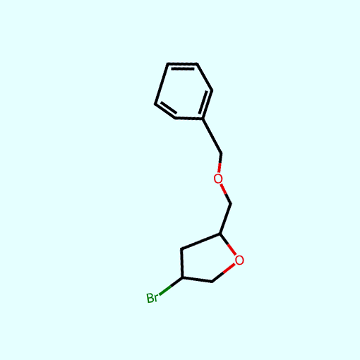 BrC1COC(COCc2ccccc2)C1